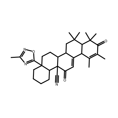 CC1=C(C)C2C3=CC(=O)C4(C#N)C(CCC5(c6nc(C)no6)CCCCC54)C3CC(C)(C)C2C(C)(C)C1=O